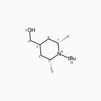 C[C@@H]1CC(CO)C[C@H](C)N1C(C)(C)C